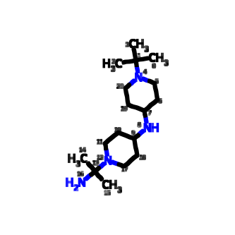 CC(C)(C)N1CCC(NC2CCN(C(C)(C)N)CC2)CC1